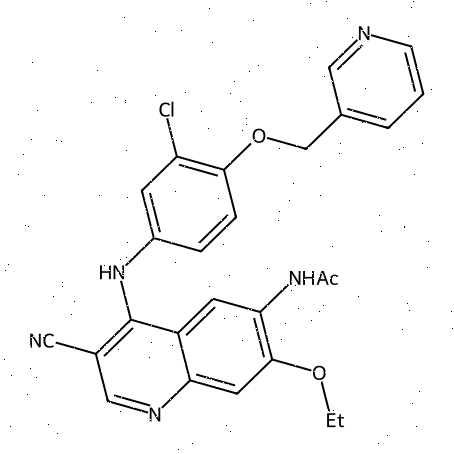 CCOc1cc2ncc(C#N)c(Nc3ccc(OCc4cccnc4)c(Cl)c3)c2cc1NC(C)=O